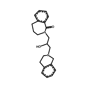 O=C1c2ccccc2CCCN1CC(O)CN1CCc2ccccc2C1